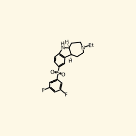 CCN1CC[C@@H]2Nc3ccc(S(=O)(=O)c4cc(F)cc(F)c4)cc3[C@@H]2CC1